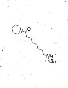 CCCCNCCCCCCCC(=O)N1CCCCC1